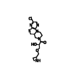 O=C(C(O)COCC1CCN1)N1CCN2c3ncc(Cl)nc3SCC2C1